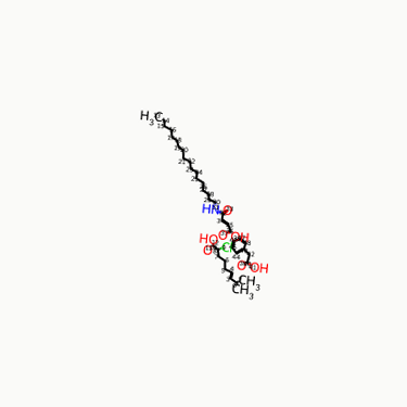 CC(C)C=CCCCC(Cl)C(=O)O.CCCCCCCCCCCCCCCCCCNC(=O)C=CC(=O)O.O=C(O)Cc1ccccc1